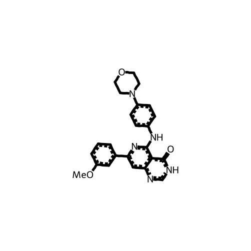 COc1cccc(-c2cc3nc[nH]c(=O)c3c(Nc3ccc(N4CCOCC4)cc3)n2)c1